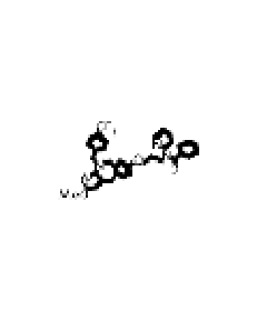 COC(=O)CC1Cc2ccc(OCCCN(C(=O)c3ccccc3)c3ccccn3)cc2CN(Cc2ccc(C(F)(F)F)cc2)C1=O